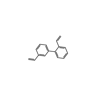 C=Cc1cccc(-c2ccccc2C=C)c1